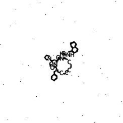 O=C1N[C@@H](CC(=O)N2CCCC2)C(=O)N[C@H](C(=O)NCc2cccc3ccccc23)CCCCCCCCC[C@H]1Cc1ccccc1